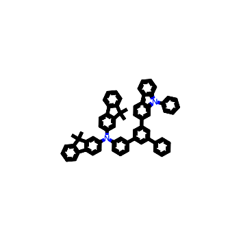 CC1(C)c2ccccc2-c2ccc(N(c3cccc(-c4cc(-c5ccccc5)cc(-c5ccc6c7ccccc7n(-c7ccccc7)c6c5)c4)c3)c3ccc4c(c3)C(C)(C)c3ccccc3-4)cc21